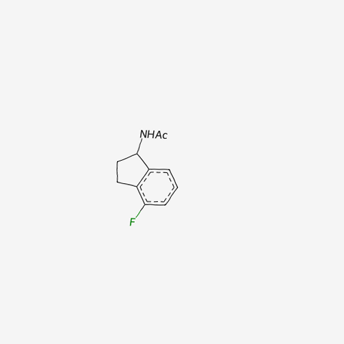 CC(=O)NC1CCc2c(F)cccc21